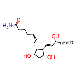 CCCCC[C@H](O)/C=C/[C@@H]1[C@@H](C/C=C\CCCC(N)=O)[C@@H](O)C[C@H]1O